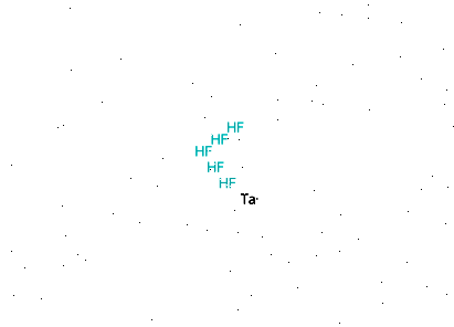 F.F.F.F.F.[Ta]